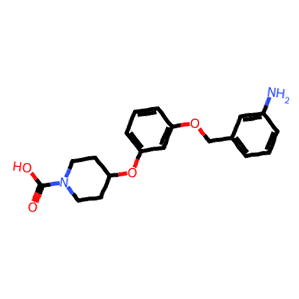 Nc1cccc(COc2cccc(OC3CCN(C(=O)O)CC3)c2)c1